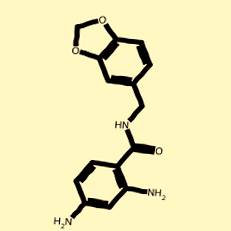 Nc1ccc(C(=O)NCc2ccc3c(c2)OCO3)c(N)c1